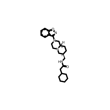 O=C(CC1CCCCC1)NC[C@@H]1CC[C@H]2CN(c3noc4ccccc34)CCN2C1